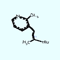 C/C(=C\c1cccnc1C)C(C)(C)C